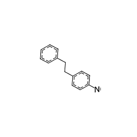 [N]c1ccc(CCc2ccccc2)cc1